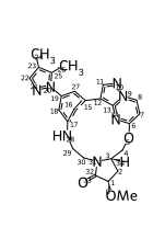 CO[C@@H]1C[C@H]2COc3ccn4ncc(c4n3)-c3cc(cc(-n4ncc(C)c4C)c3)NCCN2C1=O